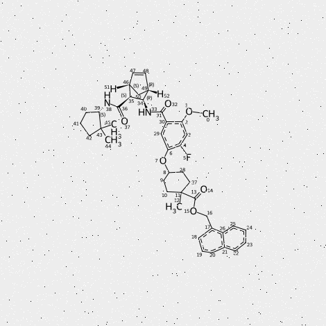 COc1cc(F)c(OC2CCC(C)(C(=O)OCc3cccc4ccccc34)CC2)cc1C(=O)N[C@H]1[C@@H](C(=O)N[C@H]2CCCC2(C)C)[C@@H]2C=C[C@H]1C2